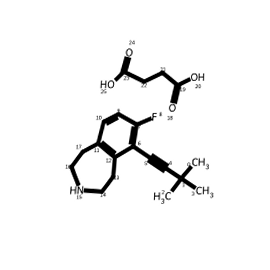 CC(C)(C)C#Cc1c(F)ccc2c1CCNCC2.O=C(O)CCC(=O)O